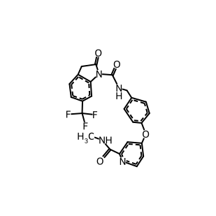 CNC(=O)c1cc(Oc2ccc(CNC(=O)N3C(=O)Cc4ccc(C(F)(F)F)cc43)cc2)ccn1